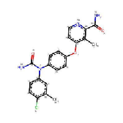 Cc1c(Oc2ccc(N(C(N)=O)c3ccc(Cl)c(C(F)(F)F)c3)cc2)ccnc1C(N)=O